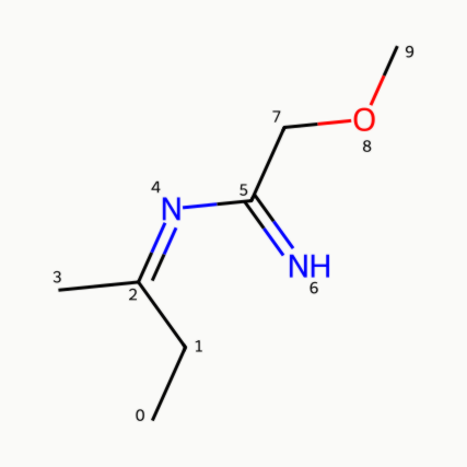 CC/C(C)=N\C(=N)COC